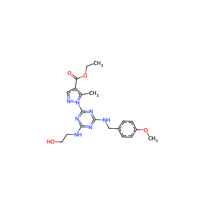 CCOC(=O)c1cnn(-c2nc(NCCO)nc(NCc3ccc(OC)cc3)n2)c1C